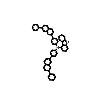 c1ccc(-c2ccc3ccc(-c4ccc(N(c5ccc(-c6ccc7ccc(-c8ccccc8)cc7c6)cc5)c5cccc6oc7ccccc7c56)cc4)cc3c2)cc1